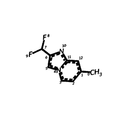 Cc1ccn2cc(C(F)F)nc2c1